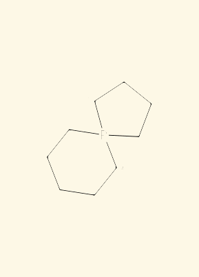 C1CC[P]2(CC1)CCCC2